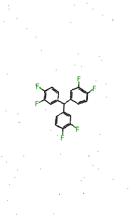 Fc1ccc(C(c2ccc(F)c(F)c2)c2ccc(F)c(F)c2)cc1F